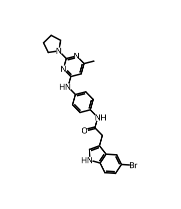 Cc1cc(Nc2ccc(NC(=O)Cc3c[nH]c4ccc(Br)cc34)cc2)nc(N2CCCC2)n1